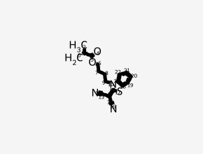 C=C(C)C(=O)OCCCCN1C(=C(C#N)C#N)Sc2ccccc21